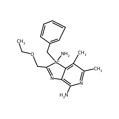 CCOCC1=Nc2c(N)nc(C)c(C)c2[N+]1(N)Cc1ccccc1